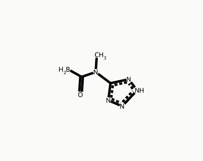 BC(=O)N(C)c1nn[nH]n1